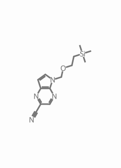 C[Si](C)(C)CCOCn1ccc2nc(C#N)cnc21